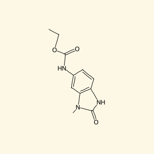 CCOC(=O)Nc1ccc2[nH]c(=O)n(C)c2c1